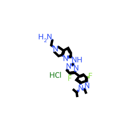 Cc1nc2c(F)cc(-c3nc(Nc4ccc5c(n4)CCN(CCN)C5)ncc3F)cc2n1C(C)C.Cl